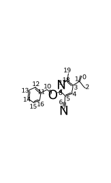 C=C(C)c1cc(C#N)c(OCc2ccccc2)nc1C